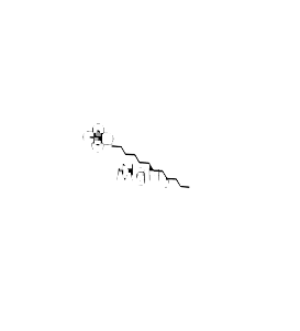 CCCCCCCCCCCCOS(=O)(=O)[O-].[MgH2].[Na+]